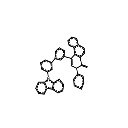 C=C1c2ccc3ccccc3c2C(c2cccc(-c3cccc(-n4c5ccccc5c5ccccc54)c3)c2)=CC1c1ccccc1